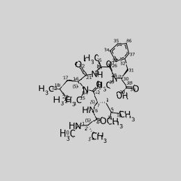 CN[C@@H](C)C(=O)N[C@@H](CC(C)C)C(=O)N(C)[C@@H](CC(C)C)C(=O)N[C@@H](C)C(=O)N(C)[C@@H](Cc1ccccc1)C(=O)O